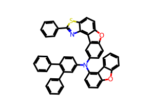 c1ccc(-c2nc3c(ccc4oc5ccc(N(c6ccc(-c7ccccc7)c(-c7ccccc7)c6)c6cccc7oc8ccccc8c67)cc5c43)s2)cc1